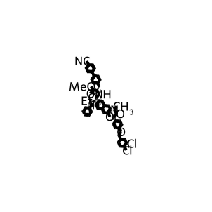 CC[C@H](c1ccccc1)N1Cc2cc3c(cc2C[C@H]1C(=O)N[C@@H](Cc1ccc(-c2ccc(C#N)cc2)cc1)C(=O)OC)N(C)C(=O)[C@H](c1ccc(OCc2ccc(Cl)c(Cl)c2)cc1)O3